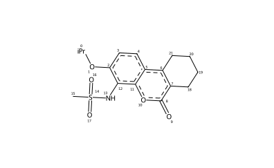 CC(C)Oc1ccc2c3c(c(=O)oc2c1NS(C)(=O)=O)CCCC3